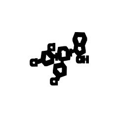 O[C@H]1Cc2ccccc2[C@@H]1N1CCN(c2ccc(Cl)cc2Cl)[C@H](c2ccc(Cl)cc2)C1